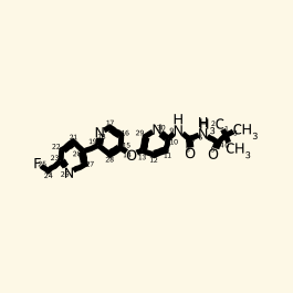 CC(C)(C)C(=O)NC(=O)Nc1ccc(Oc2ccnc(-c3ccc(CF)nc3)c2)cn1